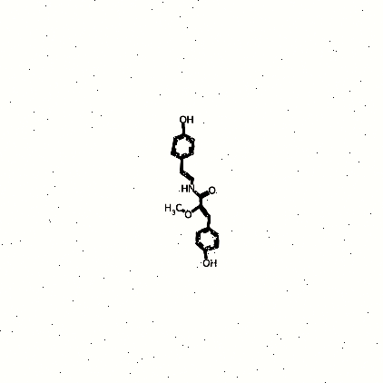 CO/C(=C\c1ccc(O)cc1)C(=O)N/C=C/c1ccc(O)cc1